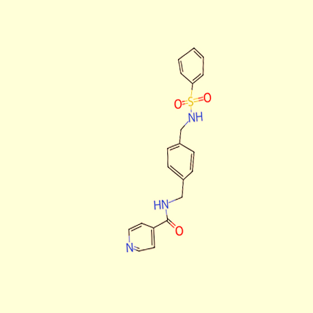 O=C(NCc1ccc(CNS(=O)(=O)c2ccccc2)cc1)c1ccncc1